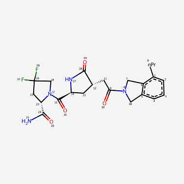 CCCc1cccc2c1CN(C(=O)C[C@@H]1C[C@@H](C(=O)N3CC(F)(F)C[C@H]3C(N)=O)NC1=O)C2